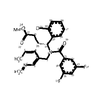 C=N/C=C(\C=C/C)CN(C(=O)c1cc(F)cc(F)c1)[C@H](CCC(=O)OC)c1ccccc1Cl